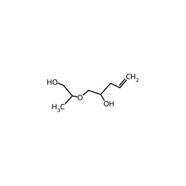 C=CCC(O)COC(C)CO